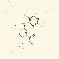 C=CC(=O)N1CCC[C@@H](Nc2nc(C)ncc2F)C1